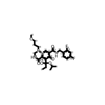 CCC(O)(OC(C)C)c1c2n(cc(C(=O)NCc3ccc(F)cc3F)c1=O)N(CCCOC)CNC2=O